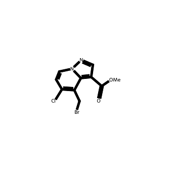 COC(=O)c1cnn2ccc(Cl)c(CBr)c12